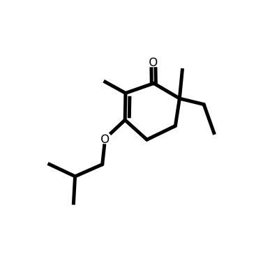 CCC1(C)CCC(OCC(C)C)=C(C)C1=O